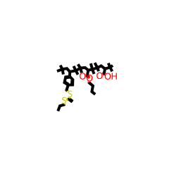 C=C(SCCC)SCc1ccc(C(CC(C)(C)C)C(C)(C)C(C)(C)CC(C(=O)OCCCC)C(C)(C)C(C)(C)CC(C(=O)O)C(C)(C)C)cc1